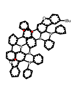 CC(C)(C)c1ccc2oc3cc4c5c(c3c2c1)N(c1ccccc1)c1ccccc1B5c1cc2c(cc1N4c1ccccc1)N(c1c(-c3ccccc3)cccc1-c1ccccc1)c1cc3oc4ccccc4c3c3c1B2c1ccccc1N3c1ccccc1